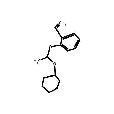 C=Cc1ccccc1OC(C)OC1CCCCC1